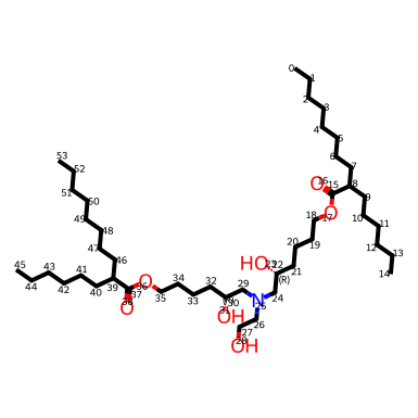 CCCCCCCCC(CCCCCC)C(=O)OCCCC[C@@H](O)CN(CCO)C[C@H](O)CCCCOC(=O)C(CCCCCC)CCCCCCCC